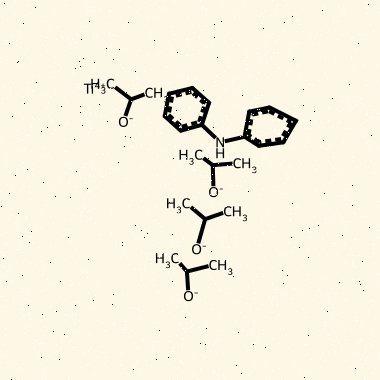 CC(C)[O-].CC(C)[O-].CC(C)[O-].CC(C)[O-].[Ti+4].c1ccc(Nc2ccccc2)cc1